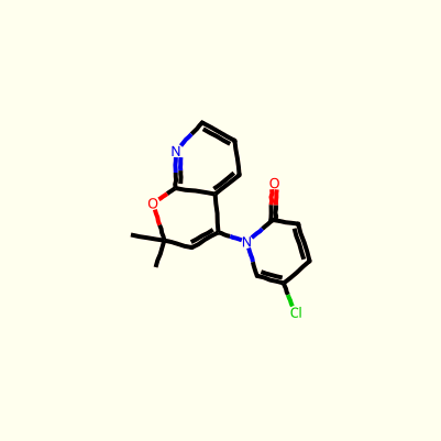 CC1(C)C=C(n2cc(Cl)ccc2=O)c2cccnc2O1